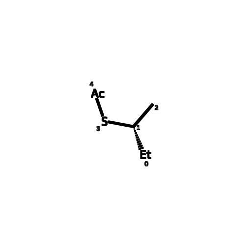 CC[C@@H](C)SC(C)=O